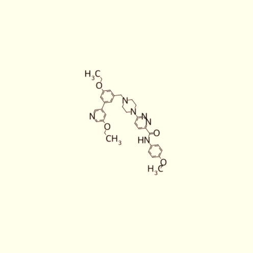 CCOc1cncc(-c2cc(CN3CCN(c4ccc(C(=O)Nc5ccc(OC)cc5)nn4)CC3)cc(OCC)c2)c1